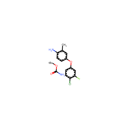 CC(C)(C)OC(N)=O.Cc1cc(Oc2ccc(Cl)c(F)c2)ccc1N